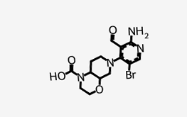 Nc1ncc(Br)c(N2CCC3C(C2)OCCN3C(=O)O)c1C=O